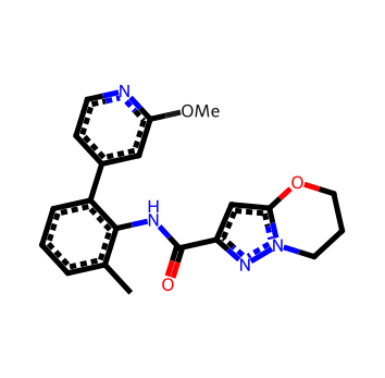 COc1cc(-c2cccc(C)c2NC(=O)c2cc3n(n2)CCCO3)ccn1